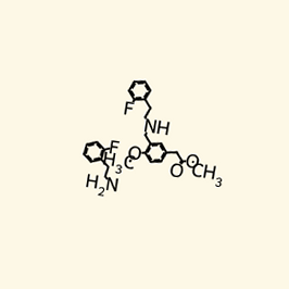 COC(=O)Cc1ccc(OC)c(CNCCc2ccccc2F)c1.NCCc1ccccc1F